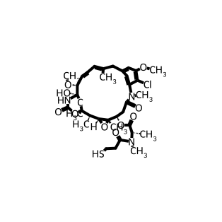 COc1cc2cc(c1Cl)N(C)C(=O)C[C@H](OC(=O)[C@H](C)N(C)C(=O)CCS)[C@]1(C)O[C@H]1[C@H](C)[C@]1(C)C[C@@](O)(NC(=O)O1)[C@H](OC)/C=C/C=C(\C)C2